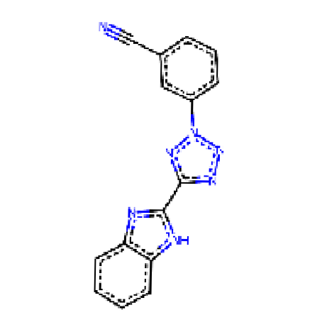 N#Cc1cccc(-n2nnc(-c3nc4ccccc4[nH]3)n2)c1